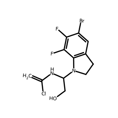 C=C(Cl)NC(CO)N1CCc2cc(Br)c(F)c(F)c21